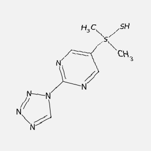 CS(C)(S)c1cnc(-n2cnnn2)nc1